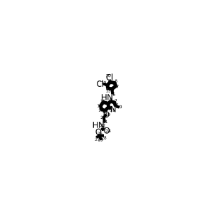 Cc1cc(NCc2ccc(Cl)c(Cl)c2)c2cccc(OCCNC(=O)OC(C)(C)C)c2n1